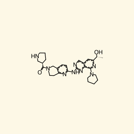 C[C@@H](O)c1cc2cnc(Nc3ccc4c(n3)CCN(C(=O)[C@@H]3CCCNC3)C4)nc2c(N2CCCCC2)n1